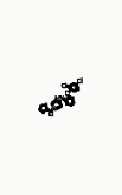 O=C(C1CCCC1)N1CCC(Nc2ccccc2Oc2ccc(Cl)cc2Cl)CC1